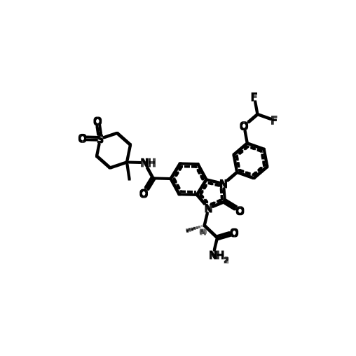 C[C@@H](C(N)=O)n1c(=O)n(-c2cccc(OC(F)F)c2)c2ccc(C(=O)NC3(C)CCS(=O)(=O)CC3)cc21